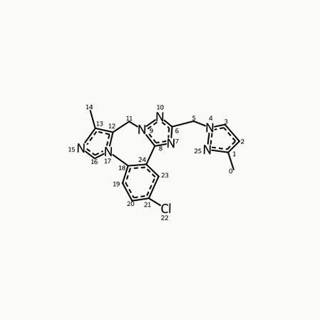 Cc1ccn(Cc2nc3n(n2)Cc2c(C)ncn2-c2ccc(Cl)cc2-3)n1